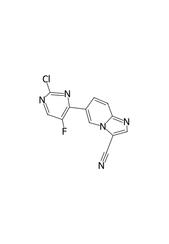 N#Cc1cnc2ccc(-c3nc(Cl)ncc3F)cn12